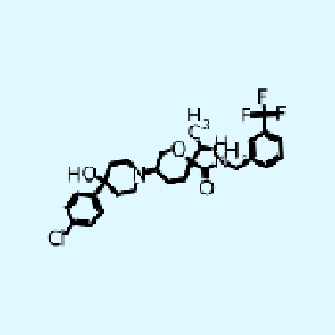 CC(C)C1(C(=O)NCc2cccc(C(F)(F)F)c2)CCC(N2CCC(O)(c3ccc(Cl)cc3)CC2)CO1